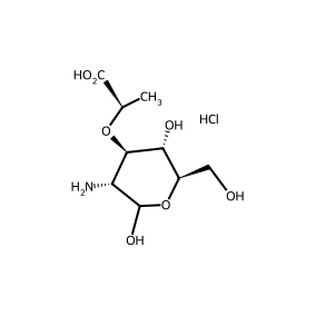 C[C@@H](O[C@H]1[C@H](O)[C@@H](CO)OC(O)[C@@H]1N)C(=O)O.Cl